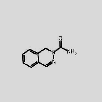 NC(=O)N1Cc2ccccc2C=N1